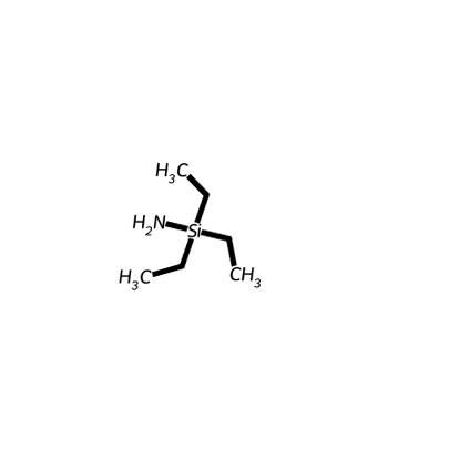 CC[Si](N)(CC)CC